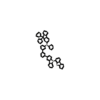 c1ccc(N(c2cccc(-c3cccc(-c4ccc5c(c4)c4ccccc4n5-c4cccc5c4sc4ccccc45)c3)c2)c2ccc3c(c2)C(c2ccccc2)(c2ccccc2)c2ccccc2-3)cc1